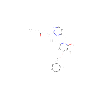 COC(=O)NCc1nccc(Cn2c(C)cc(OCc3ccc(F)cc3F)c(Br)c2=O)n1